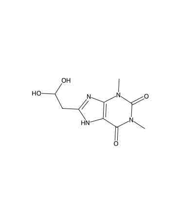 Cn1c(=O)c2[nH]c(CC(O)O)nc2n(C)c1=O